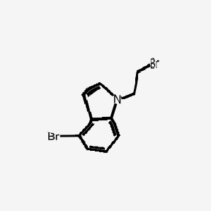 BrCCn1ccc2c(Br)cccc21